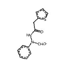 O=[C]N(NC(=O)Cc1cccs1)c1ccccc1